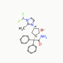 Cc1n([C@@H]2CC[C@H](C(C(N)=O)(c3ccccc3)c3ccccc3)C2)cc[n+]1C(F)F.[Br-]